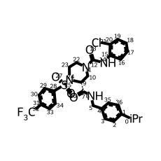 CC(C)c1ccc(CNC(=O)[C@H]2CN(C(=O)Nc3ccccc3Cl)CCN2S(=O)(=O)c2ccc(C(F)(F)F)cc2)cc1